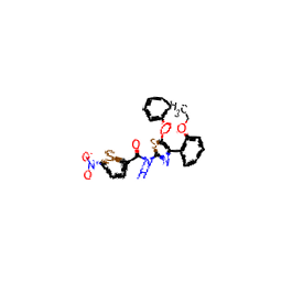 CCOc1ccccc1-c1nc(NC(=O)c2ccc([N+](=O)[O-])s2)sc1Oc1ccccc1